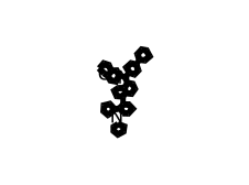 c1ccc(-c2ccc(N(c3ccc4ccccc4c3)c3cccc4c(-c5cccc6c5c5ccccc5n6-c5ccccc5)cccc34)cc2)cc1